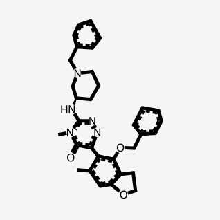 Cc1cc2c(c(OCc3ccccc3)c1-c1nnc(N[C@@H]3CCCN(Cc4ccccc4)C3)n(C)c1=O)CCO2